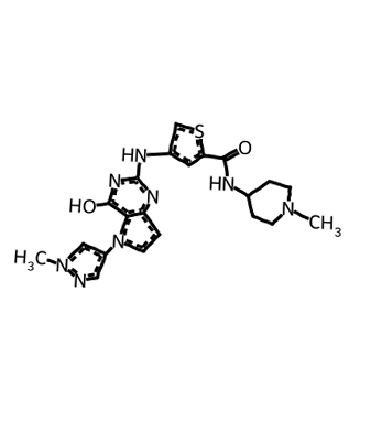 CN1CCC(NC(=O)c2cc(Nc3nc(O)c4c(ccn4-c4cnn(C)c4)n3)cs2)CC1